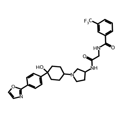 O=C(CNC(=O)c1cccc(C(F)(F)F)c1)NC1CCN(C2CCC(O)(c3ccc(-c4ncco4)cc3)CC2)C1